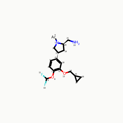 CC(=O)N1C[C@@H](c2ccc(OC(F)F)c(OCC3CC3)c2)C[C@@H]1CN